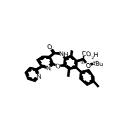 Cc1ccc(-c2c(C)c3c(c(C)c2[C@H](OC(C)(C)C)C(=O)O)NC(=O)c2ccc(-c4ccccn4)nc2O3)cc1